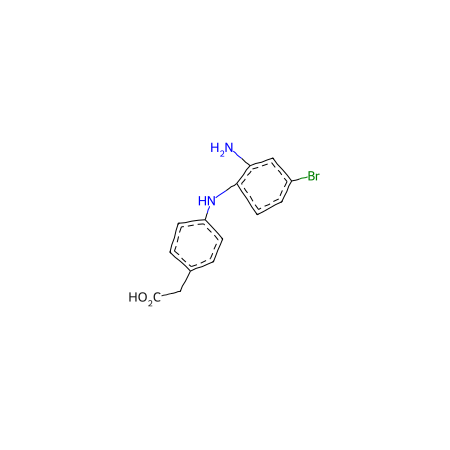 Nc1cc(Br)ccc1Nc1ccc(CC(=O)O)cc1